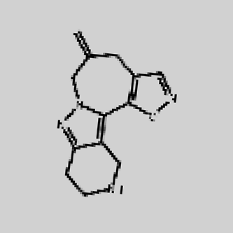 C=C1Cc2cnoc2-c2c3c(nn2C1)CCNC3